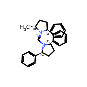 C[C@@H]1CC[C@@H](c2ccccc2)/[N+]1=C\N1[C@H](c2ccccc2)CC[C@H]1c1ccccc1